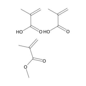 C=C(C)C(=O)O.C=C(C)C(=O)O.C=C(C)C(=O)OC